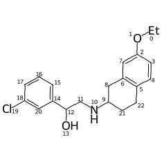 CCOc1ccc2c(c1)CC(NCC(O)c1cccc(Cl)c1)CC2